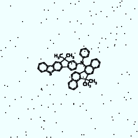 CC1(C)c2cc(N(c3ccccc3)c3c4c(cc5ccccc35)C(C)(C)c3c-4ccc4ccccc34)ccc2-c2cc3sc4ccccc4c3cc21